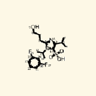 CC(C)c1nc(CCCO)n(C(C)C)c1S(=O)(=O)O.Fc1cccc(F)c1